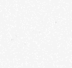 C/C(=C\COC[C@@H](O)[C@@H](O)[C@H](O)[C@H](O)CO)CCCC(C)CCCC(C)C